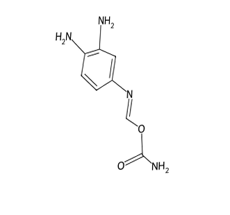 NC(=O)OC=Nc1ccc(N)c(N)c1